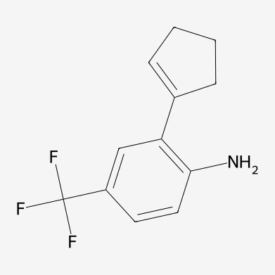 Nc1ccc(C(F)(F)F)cc1C1=CCCC1